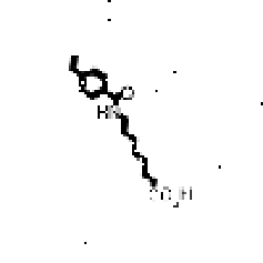 C=Cc1ccc(C(=O)NCCCCCCCC(=O)O)cc1